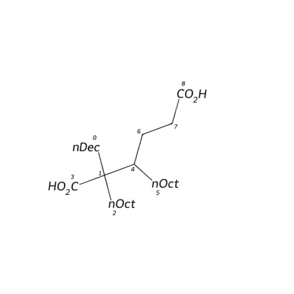 CCCCCCCCCCC(CCCCCCCC)(C(=O)O)C(CCCCCCCC)CCC(=O)O